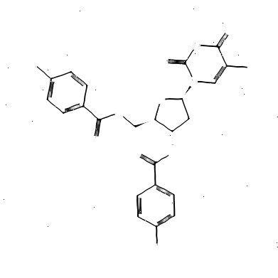 Cc1cn([C@H]2C[C@H](OC(=O)c3ccc(Cl)cc3)[C@@H](COC(=O)c3ccc(Cl)cc3)O2)c(=O)[nH]c1=O